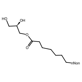 CCCCCCCCCCCCCCCC(=O)OC[C@H](O)CO